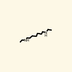 CCNCCCCCCCNCC